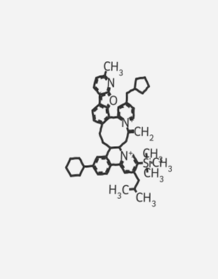 C=C1CC2C(CCc3ccc4c(oc5nc(C)ccc54)c3-c3cc(CC4CCCC4)cc[n+]31)c1cc(C3CCCCC3)ccc1-c1cc(CC(C)C)c([Si](C)(C)C)c[n+]12